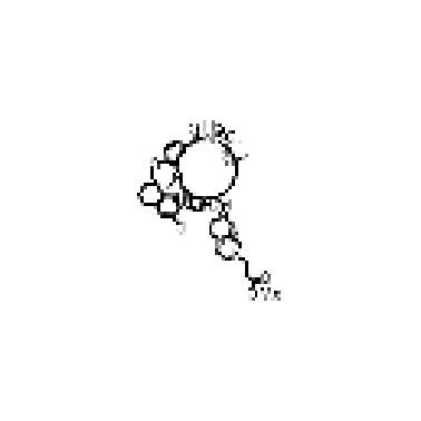 COC(=O)CCN1CCN2CCN(CC3(O)CCC[C@H](C)[C@@H](C)S(=O)(=O)NC(=O)c4ccc5c(c4)N(C[C@@H]4CC[C@H]43)C[C@@]3(CCCc4cc(Cl)ccc43)CO5)C[C@H]2C1